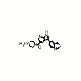 CN1CCN(C(=O)c2cnc3[nH]cc(-c4ccc5ncncc5c4)c3c2)CC1